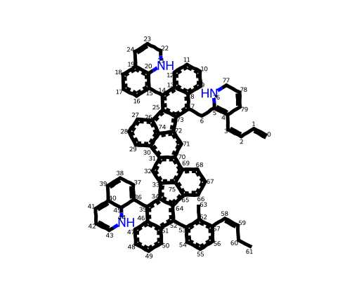 C=C/C=C\C1=C(Cc2c3ccccc3c(-c3cccc4c3NCC=C4)c3c4cccc5c6cc7c8c(C9=CC=CC%10=CC=CNC%109)c9ccccc9c(-c9cccc(/C=C\CC)c9C)c8c8cccc(c6cc(c23)c54)c78)NCC=C1